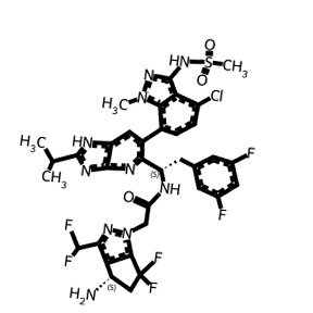 CC(C)c1nc2nc([C@H](Cc3cc(F)cc(F)c3)NC(=O)Cn3nc(C(F)F)c4c3C(F)(F)C[C@@H]4N)c(-c3ccc(Cl)c4c(NS(C)(=O)=O)nn(C)c34)cc2[nH]1